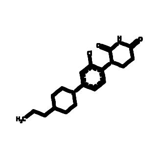 CCCC1CCN(c2ccc(N3CCC(=O)NC3=O)c(Cl)c2)CC1